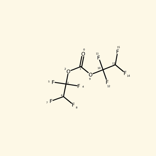 O=C(OC(F)(F)C(F)F)OC(F)(F)C(F)F